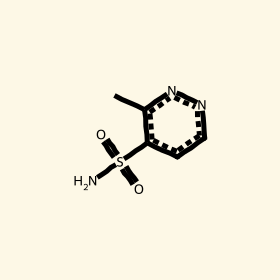 Cc1nnccc1S(N)(=O)=O